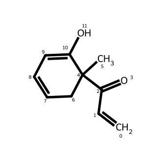 C=CC(=O)C1(C)CC=CC=C1O